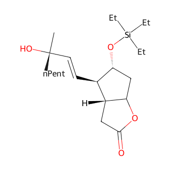 CCCCC[C@](C)(O)/C=C/[C@H]1[C@H](O[Si](CC)(CC)CC)CC2OC(=O)C[C@@H]21